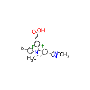 CCn1cc(-c2ccc3c(c2)C[C@H](C)N(c2ccc(C4CC4)cc2)[C@H]3c2c(F)cc(/C=C/C(=O)O)cc2F)cn1